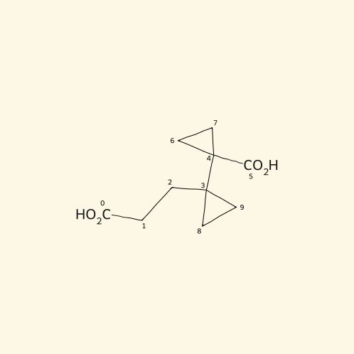 O=C(O)CCC1(C2(C(=O)O)CC2)CC1